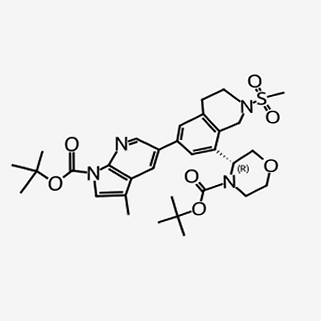 Cc1cn(C(=O)OC(C)(C)C)c2ncc(-c3cc4c(c([C@@H]5COCCN5C(=O)OC(C)(C)C)c3)CN(S(C)(=O)=O)CC4)cc12